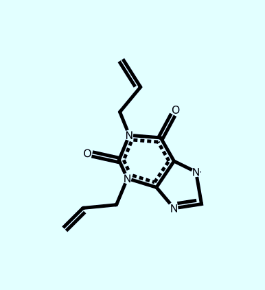 C=CCn1c2c(c(=O)n(CC=C)c1=O)[N]C=N2